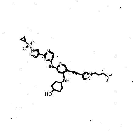 CN(C)CCCn1cc(C#Cc2cnc(Nc3ccnc(-c4cnn(S(=O)(=O)C5CC5)c4)n3)cc2NC2CCC(O)CC2)cn1